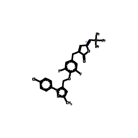 Cc1cc(COc2c(F)cc(CC3=C/C(=C/[Si](C(C)C)(C(C)C)C(C)C)OC3=O)cc2F)n(-c2ccc(Cl)cc2)n1